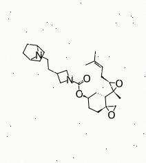 CC(C)=CC[C@H]1O[C@]1(C)[C@H]1C[C@H](OC(=O)N2CC(CCN3C4CCC3CC4)C2)CC[C@]12CO2